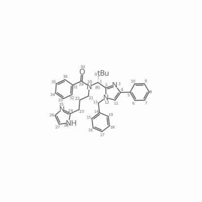 CC(C)(C)[C@H](c1nc(-c2ccccc2)cn1Cc1ccccc1)N(CCCc1ncc[nH]1)C(=O)c1ccccc1